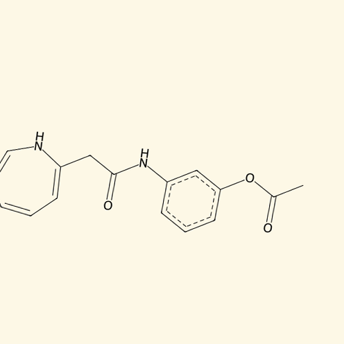 CC(=O)Oc1cccc(NC(=O)CC2=CC=CC=CN2)c1